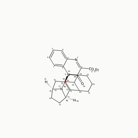 CCOC(=O)c1nc2ccccc2n([C@H]2C[C@H]3CC[C@@H](C2)N3CC2C3CCCC2CCC3)c1=O